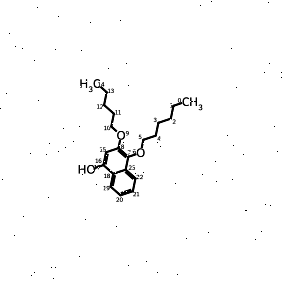 CCCCCCOc1c(OCCCCC)cc(O)c2ccccc12